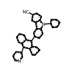 N#Cc1ccc2c(c1)c1cc(-c3c4ccccc4c(-c4cccnc4)c4ccccc34)ccc1n2-c1ccccc1